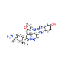 CCc1cc(O)ccc1/N=C(\N)c1cnn2cc(-c3ccc(C(N)=O)cc3C)cc2c1N[C@H]1CCOC1